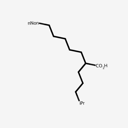 CCCCCCCCCCCCCCC(CCCC(C)C)C(=O)O